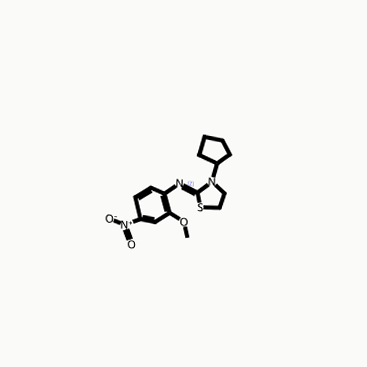 COc1cc([N+](=O)[O-])ccc1/N=C1\SCCN1C1CCCC1